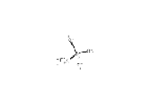 [Cl-].[Hf+4].[O-]B([O-])[O-]